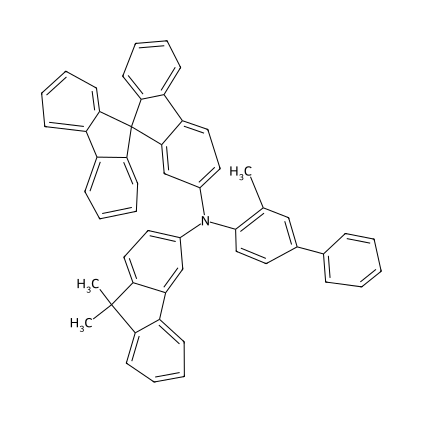 Cc1cc(-c2ccccc2)ccc1N(c1ccc2c(c1)-c1ccccc1C2(C)C)c1ccc2c(c1)C1(c3ccccc3-c3ccccc31)c1ccccc1-2